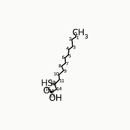 CCCCCCCCCCCCC(S)CC(=O)O